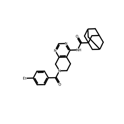 CCc1ccc(C(=O)N2CCc3c(ncnc3NC(=O)C34CC5CC(CC(C5)C3)C4)C2)cc1